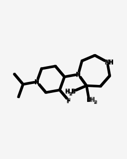 BC1(B)CCNCCN1C1CCN(C(C)C)CC1F